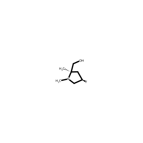 CN1C[C@H](F)C[C@]1(C)CO